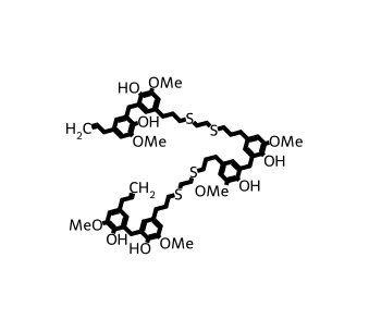 C=CCc1cc(Cc2cc(CCCSCCSCCCc3cc(Cc4cc(CCCSCCSCCCc5cc(Cc6cc(CC=C)cc(OC)c6O)c(O)c(OC)c5)cc(OC)c4O)c(O)c(OC)c3)cc(OC)c2O)c(O)c(OC)c1